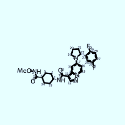 CONC(=O)[C@H]1CC[C@H](NC(=O)c2cnn3ccc(N4CCC[C@@H]4c4cc(F)ccc4F)cc23)CC1